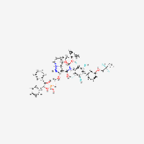 CC(F)(F)COc1cccc(-c2c(F)c(F)c(N(C(=O)OC(C)(C)C)C(=O)c3c(OCOP(=O)(OCc4ccccc4)OCc4ccccc4)nn4ccccc34)c(F)c2F)c1